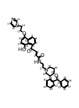 O=C(C=CC(=O)c1cccc2c(OCCn3ccnc3)ccc(O)c12)NCCN1CCC(OC(c2ccccc2)c2ccccc2)CC1